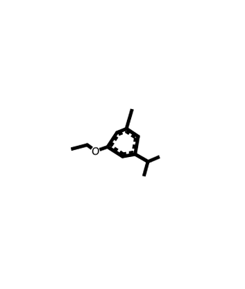 CCOc1cc(C)cc([C](C)C)c1